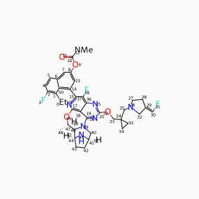 CCc1c(F)ccc2cc(OC(=O)NC)cc(-c3nc4c5c(nc(OCC6(CN7CC/C(=C\F)C7)CC6)nc5c3F)N3C[C@H]5CC[C@H](N5)[C@H]3[C@H](C)O4)c12